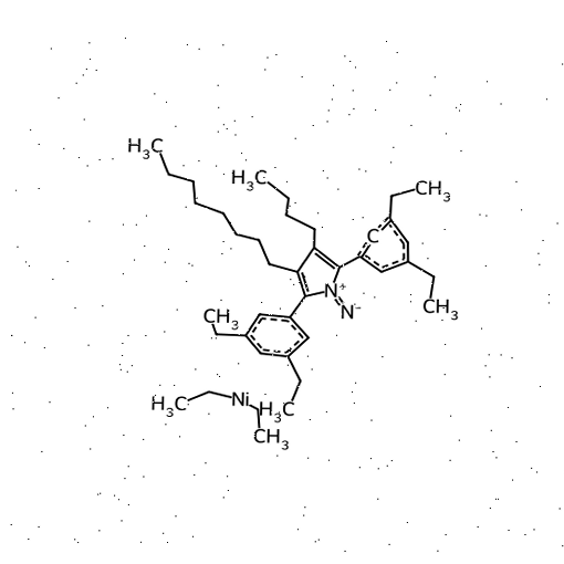 CCCCCCCCC1=C(c2cc(CC)cc(CC)c2)[N+](=[N-])C(c2cc(CC)cc(CC)c2)=C1CCCC.C[CH2][Ni][CH2]C